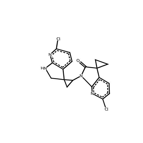 O=C1N(C2CC23CNc2nc(Cl)ccc23)c2nc(Cl)ccc2C12CC2